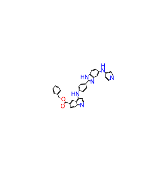 O=C(OCc1ccccc1)c1ccc2nccc(Nc3ccc(-c4nc5cc(Nc6ccncc6)ccc5[nH]4)cc3)c2c1